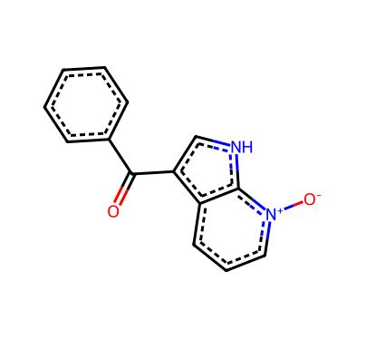 O=C(c1ccccc1)c1c[nH]c2c1ccc[n+]2[O-]